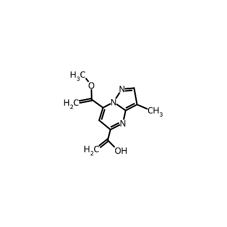 C=C(O)c1cc(C(=C)OC)n2ncc(C)c2n1